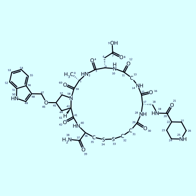 C[C@@H]1NC(=O)[C@H](CC(=O)O)NC(=O)CNC(=O)[C@H](CNC(=O)C2CCNCC2)NC(=O)CCSSCC(C(N)=O)NC(=O)[C@@H]2CC(OCc3c[nH]c4ccccc34)CN2C1=O